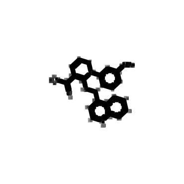 CSc1cccc(N2CC=CC(C(N)=O)=C2SCc2ccnc3ccccc23)c1